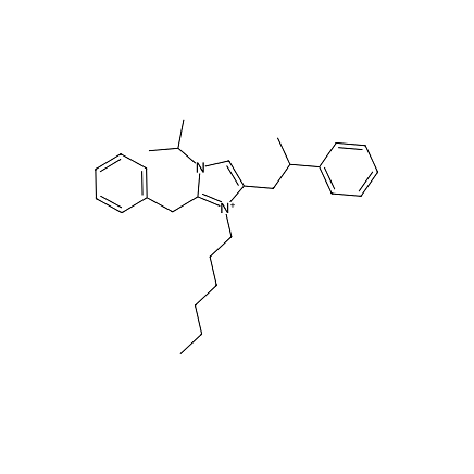 CCCCCC[n+]1c(CC(C)c2ccccc2)cn(C(C)C)c1Cc1ccccc1